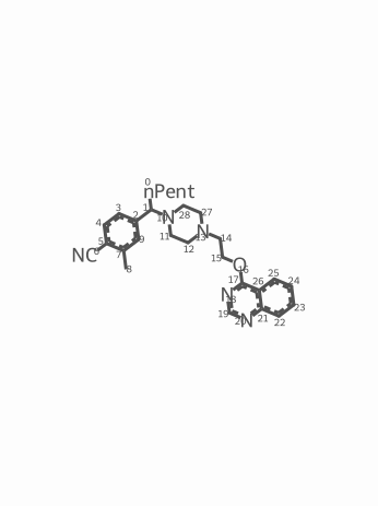 CCCCCC(c1ccc(C#N)c(C)c1)N1CCN(CCOc2ncnc3ccccc23)CC1